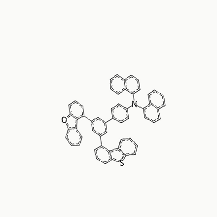 c1ccc2c(N(c3ccc(-c4cc(-c5cccc6oc7ccccc7c56)cc(-c5cccc6sc7ccccc7c56)c4)cc3)c3cccc4ccccc34)cccc2c1